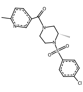 Cc1ccc(C(=O)N2CCN(S(=O)(=O)c3ccc(Cl)cc3)[C@@H](C)C2)cn1